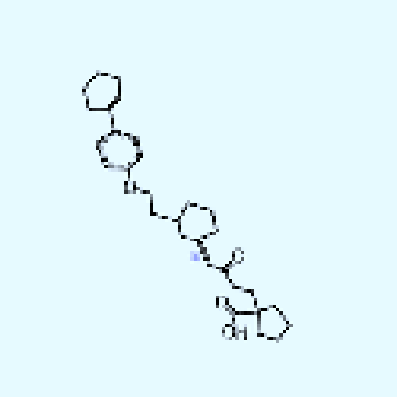 O=C(/C=C1\CCCC(CCOc2ccc(C3=CCCCC3)cc2)C1)CCC1(C(=O)O)CCCC1